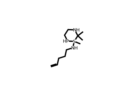 C=CCCCNS1(C)PCCNC1(C)C